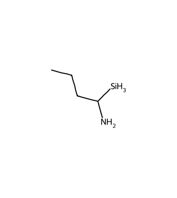 CCCC(N)[SiH3]